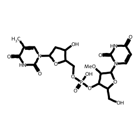 COC1C(OP(=O)(O)OCC2OC(n3cc(C)c(=O)[nH]c3=O)CC2O)C(CO)OC1n1ccc(=O)[nH]c1=O